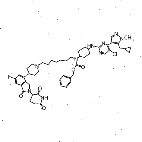 Cn1ncc(-c2nc(NC3CCC(N(CCCCCCCN4CCC(c5cc(F)cc6c5CN(C5CCC(=O)NC5=O)C6=O)CC4)C(=O)OCc4ccccc4)CC3)ncc2Cl)c1CC1CC1